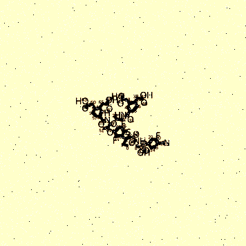 CCc1c(S(=O)(=O)NCP(=O)(O)Oc2ccc(C#N)c(F)c2)sc2c(F)c(OC(C)CNC(=O)c3ccc(CC(=O)O)c(CC(=O)O)c3)c(OC(C)CNC(=O)c3ccc(CC(=O)O)c(CC(=O)O)c3)c(F)c12